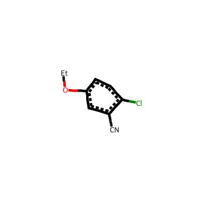 CCOc1ccc(Cl)c(C#N)c1